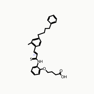 Cc1cc(CCCCc2ccccc2)ccc1/C=C/C(=S)Nc1ccccc1OCCCC(=O)O